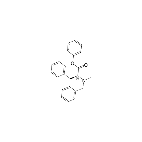 CN(Cc1ccccc1)[C@@H](Cc1ccccc1)C(=O)Oc1ccccc1